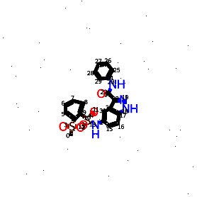 CS(=O)(=O)c1ccccc1S(=O)(=O)Nc1ccc2[nH]nc(C(=O)Nc3ccccc3)c2c1